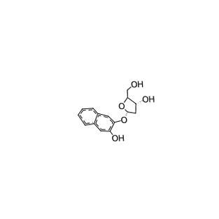 OCC1O[C@@H](Oc2cc3ccccc3cc2O)C[C@H]1O